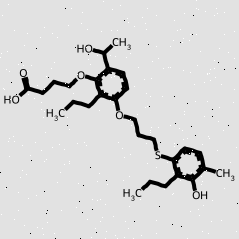 CCCc1c(SCCCOc2ccc(C(C)O)c(OCCCC(=O)O)c2CCC)ccc(C)c1O